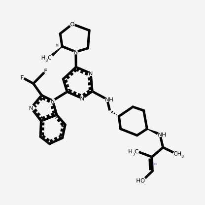 C/C(=C\O)C(C)N[C@H]1CC[C@H](CNc2nc(N3CCOC[C@@H]3C)cc(-n3c(C(F)F)nc4ccccc43)n2)CC1